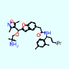 Cc1ccc(C(CCC(C)C)NC(=O)Cc2ccc3oc(C(OCC(C)(C)N)c4c(C)noc4C)cc3c2)c(C)c1